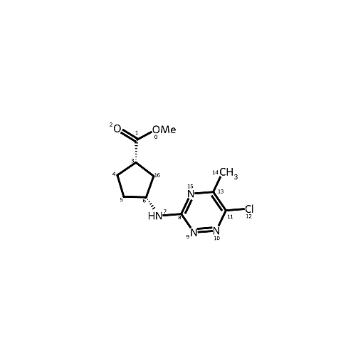 COC(=O)[C@H]1CC[C@@H](Nc2nnc(Cl)c(C)n2)C1